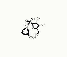 O=C(O)c1cccnc1.O=P(O)(O)[C]1O[C@H](CO)[C@@H](O)[C@H]1O